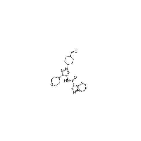 O=C[C@H]1CC[C@H](n2cc(NC(=O)c3cnn4cccnc34)c(N3CCOCC3)n2)CC1